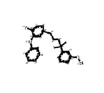 CCOc1cccc(C(C)(C)CCCc2ccc(F)c(Oc3ccccc3)c2)c1